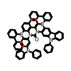 O=C1N2c3cc4c(cc3B(c3ccccc3-c3ccccc3)c3ccc5ccc6c(c5c32)N1c1cc2c(cc1B6c1ccccc1-c1ccccc1)c1ccccc1n2-c1ccccc1)c1ccccc1n4-c1ccccc1